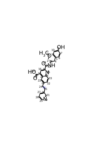 COC[C@H](Cc1ccc(O)cc1)NC(=O)c1cc(C(=O)O)c2cc(/C=C/c3cccnc3)ccc2n1